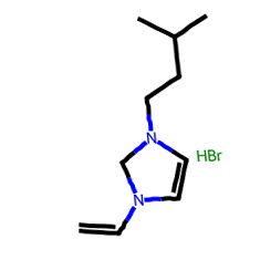 Br.C=CN1C=CN(CCC(C)C)C1